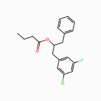 CCCC(=O)OC(Cc1ccccc1)Cc1cc(F)cc(Cl)c1